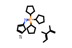 C1=CCC(N=P(C2CCCC2)(C2CCCC2)C2CCCC2)=C1.C=C(C)C(C)=CC.[Ti]